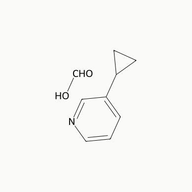 O=CO.c1cncc(C2CC2)c1